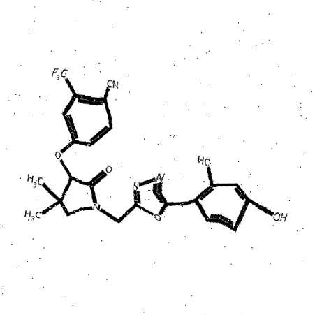 CC1(C)CN(Cc2nnc(-c3ccc(O)cc3O)o2)C(=O)C1Oc1ccc(C#N)c(C(F)(F)F)c1